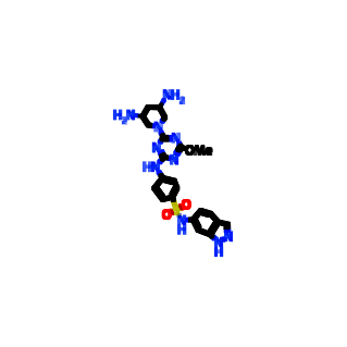 COc1nc(Nc2ccc(S(=O)(=O)Nc3ccc4cn[nH]c4c3)cc2)nc(N2C[C@H](N)C[C@H](N)C2)n1